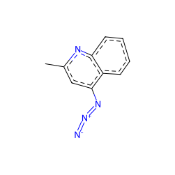 Cc1cc(N=[N+]=[N-])c2ccccc2n1